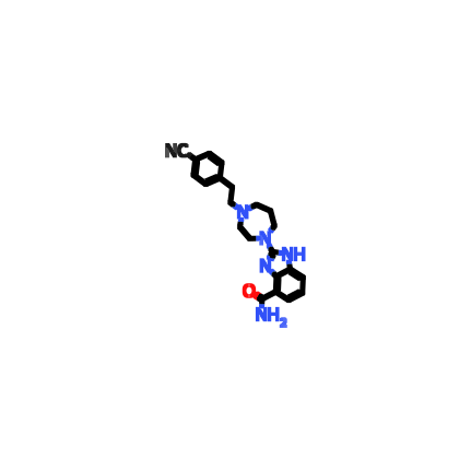 N#Cc1ccc(CCN2CCCN(c3nc4c(C(N)=O)cccc4[nH]3)CC2)cc1